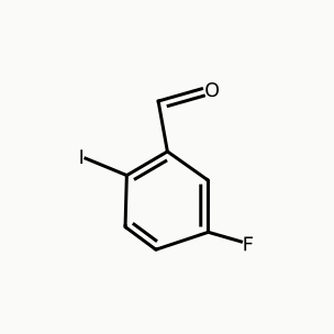 O=Cc1cc(F)ccc1I